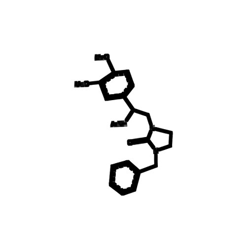 COc1ccc(C(CN2CCN(Cc3ccccc3)C2=O)NC(C)=O)cc1OC